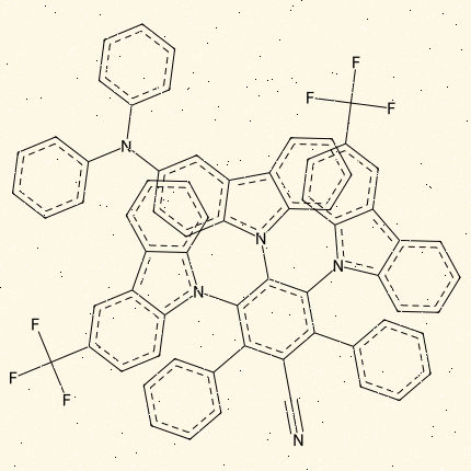 N#Cc1c(-c2ccccc2)c(-n2c3ccccc3c3cc(C(F)(F)F)ccc32)c(-n2c3ccccc3c3cc(N(c4ccccc4)c4ccccc4)ccc32)c(-n2c3ccccc3c3cc(C(F)(F)F)ccc32)c1-c1ccccc1